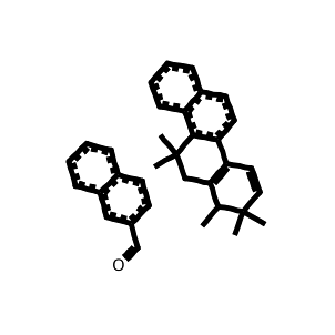 CC1C2=C(C=CC1(C)C)c1ccc3ccccc3c1C(C)(C)C2.O=Cc1ccc2ccccc2c1